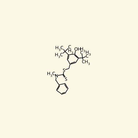 CN(Cc1ccccc1)C(=S)SCc1cc(C(C)(C)C)c(O)c(C(C)(C)C)c1